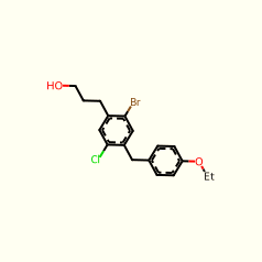 CCOc1ccc(Cc2cc(Br)c(CCCO)cc2Cl)cc1